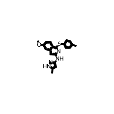 COc1ccc2c(Sc3ccc(C)cc3)nc(Nc3cc(C)[nH]n3)cc2c1